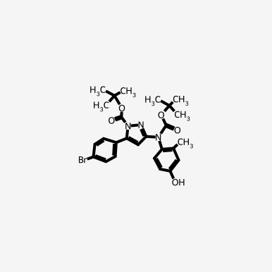 Cc1cc(O)ccc1N(C(=O)OC(C)(C)C)c1cc(-c2ccc(Br)cc2)n(C(=O)OC(C)(C)C)n1